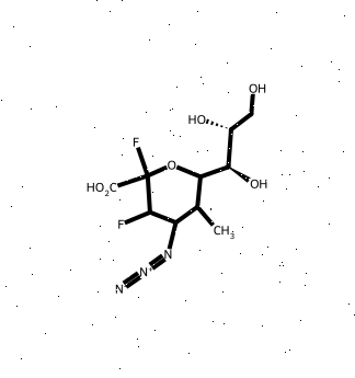 CC1C(N=[N+]=[N-])C(F)C(F)(C(=O)O)OC1[C@H](O)[C@H](O)CO